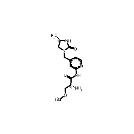 CC(C)(C)OC[C@@H](N)C(=O)Nc1cc(CN2C[C@@H](C(F)(F)F)NC2=O)ccn1